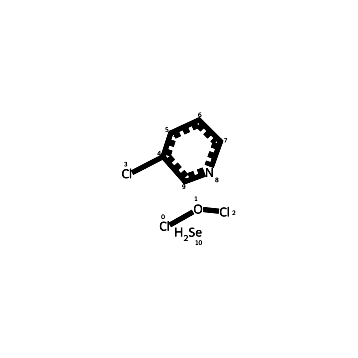 ClOCl.Clc1cccnc1.[SeH2]